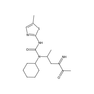 CC(=O)C(=N)CC(C)N(C(=O)Nc1ncc(C)s1)C1CCCCC1